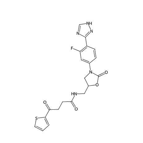 O=C(CCC(=O)c1cccs1)NCC1CN(c2ccc(-c3nc[nH]n3)c(F)c2)C(=O)O1